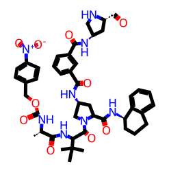 C[C@H](NC(=O)OCc1ccc([N+](=O)[O-])cc1)C(=O)NC(C(=O)N1C[C@@H](NC(=O)c2cccc(C(=O)N[C@@H]3CN[C@H](C=O)C3)c2)CC1C(=O)N[C@@H]1CCCc2ccccc21)C(C)(C)C